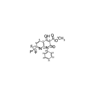 COC(=O)c1c(O)c2ccc(C(F)(F)F)nc2n(-c2ccccc2)c1=O